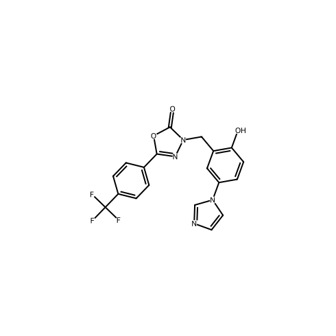 O=c1oc(-c2ccc(C(F)(F)F)cc2)nn1Cc1cc(-n2ccnc2)ccc1O